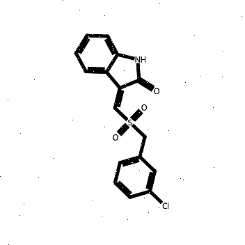 O=C1Nc2ccccc2C1=CS(=O)(=O)Cc1cccc(Cl)c1